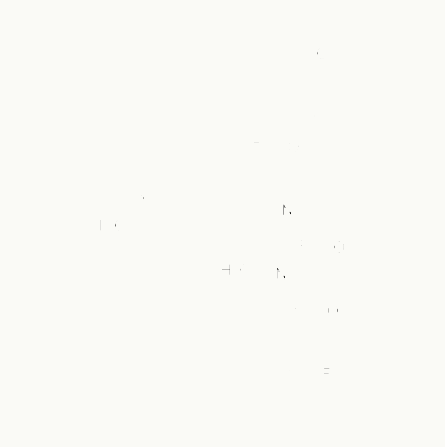 CN(C(=O)c1c(F)cccc1F)C(=O)N(COCCCl)c1ccc(SC(F)(F)F)cc1F